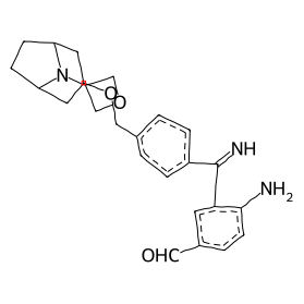 N=C(c1ccc(COC2CC3CCC(C2)N3C2COC2)cc1)c1cc(C=O)ccc1N